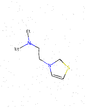 CCN(CC)CCN1C=CSC1